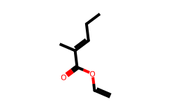 C=COC(=O)C(C)=CCC